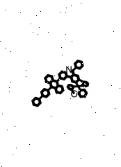 c1ccc(-c2ccc(-c3c4ccccc4c(-c4ccc5nc(-c6ccccc6)c6cc7c(cc6c5c4)C4(c5ccccc5Oc5ccccc54)c4ccccc4-7)c4ccccc34)cc2)cc1